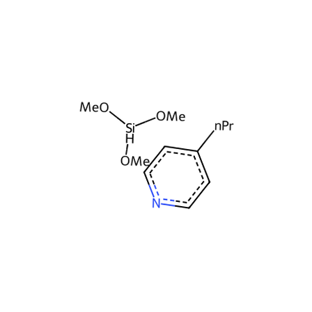 CCCc1ccncc1.CO[SiH](OC)OC